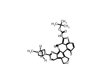 CN1C[C@@H]2C[C@H]1CN2c1ncc2c3c(c(-c4c(F)ccc5sc(NC(=O)OC(C)(C)C)c(C#N)c45)c(F)c2n1)COC3